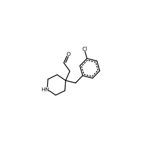 O=CCC1(Cc2cccc(Cl)c2)CCNCC1